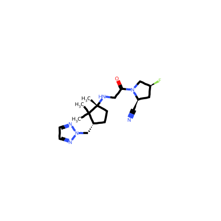 CC1(C)[C@@H](Cn2nccn2)CC[C@@]1(C)NCC(=O)N1C[C@@H](F)C[C@H]1C#N